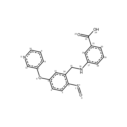 O=[S+]c1ccc(Oc2cccnc2)cc1CNc1cccc(C(=O)O)c1